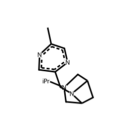 Cc1cnc(CN2C3CC2CN(C(C)C)C3)cn1